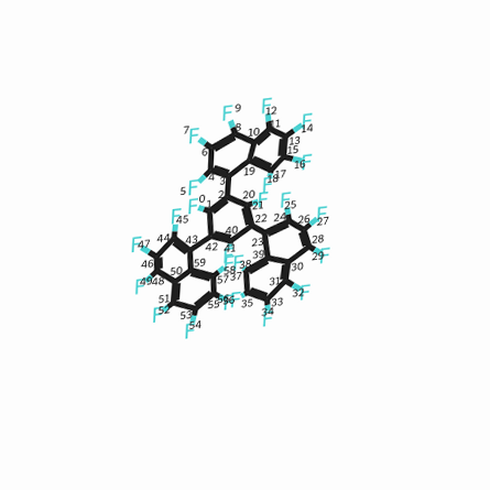 Fc1c(-c2c(F)c(F)c(F)c3c(F)c(F)c(F)c(F)c23)c(F)c(-c2c(F)c(F)c(F)c3c(F)c(F)c(F)c(F)c23)c(F)c1-c1c(F)c(F)c(F)c2c(F)c(F)c(F)c(F)c12